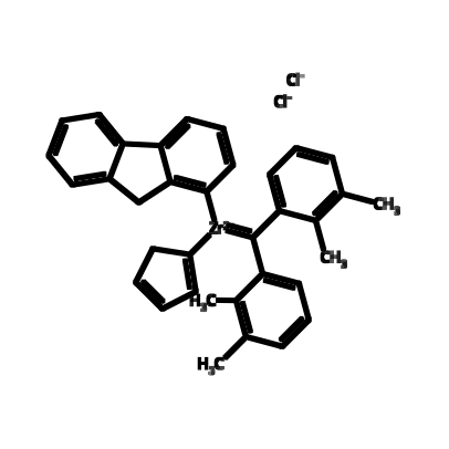 Cc1cccc([C](c2cccc(C)c2C)=[Zr+2]([C]2=CC=CC2)[c]2cccc3c2Cc2ccccc2-3)c1C.[Cl-].[Cl-]